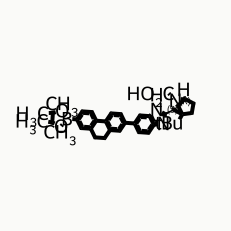 CC(C)(C)C12CC[C@H](C1)N(C(=O)O)[C@@H]2c1nc2ccc(-c3ccc4c(c3)CCc3cc(B5OC(C)(C)C(C)(C)O5)ccc3-4)cc2[nH]1